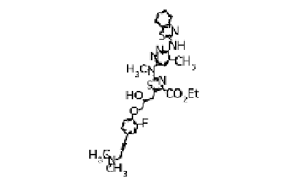 CCOC(=O)c1nc(N(C)c2cc(C)c(Nc3nc4ccccc4s3)nn2)sc1CC(O)COc1ccc(C#CCN(C)C)cc1F